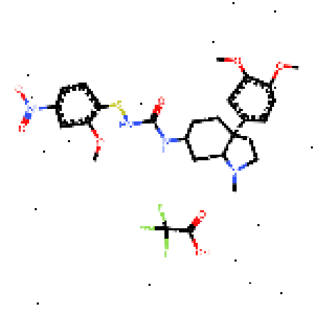 COc1ccc(C23CCC(NC(=O)NSc4ccc([N+](=O)[O-])cc4OC)CC2N(C)CC3)cc1OC.O=C(O)C(F)(F)F